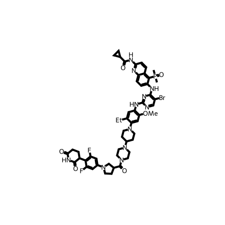 CCc1cc(Nc2ncc(Br)c(Nc3ccc4nc(NC(=O)C5CC5)ccc4c3P(C)(C)=O)n2)c(OC)cc1N1CCC(N2CCN(C(=O)C3CCN(c4cc(F)c(C5CCC(=O)NC5=O)c(F)c4)C3)CC2)CC1